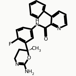 C[C@@]1(c2cc(NC(=O)c3ncccc3-c3ccccc3)ccc2F)CCN=C(N)O1